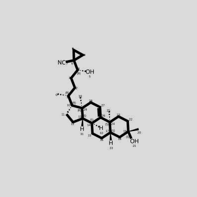 C[C@H](CC[C@@H](O)C1(C#N)CC1)[C@H]1CC[C@H]2[C@@H]3CC[C@H]4C[C@@](C)(O)CC[C@]4(C)C3=CC[C@]12C